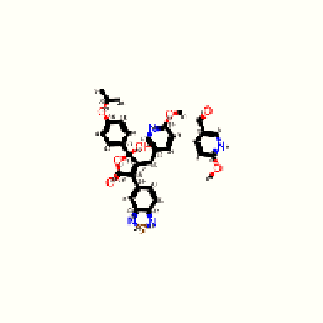 COc1ccc(C=O)cn1.COc1ccc(CC2=C(c3ccc4nsnc4c3)C(=O)OC2(O)c2ccc(OC(C)C)cc2)cn1